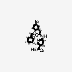 CC(Cc1cc(Br)ccc1OCc1ccccc1)Nc1ccc(C(=O)O)cn1